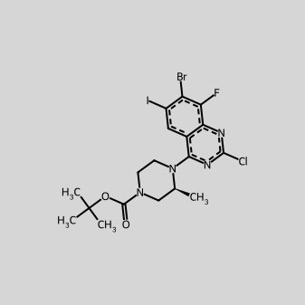 C[C@H]1CN(C(=O)OC(C)(C)C)CCN1c1nc(Cl)nc2c(F)c(Br)c(I)cc12